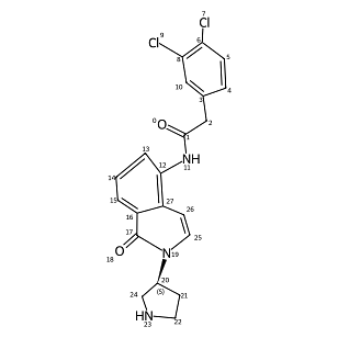 O=C(Cc1ccc(Cl)c(Cl)c1)Nc1cccc2c(=O)n([C@H]3CCNC3)ccc12